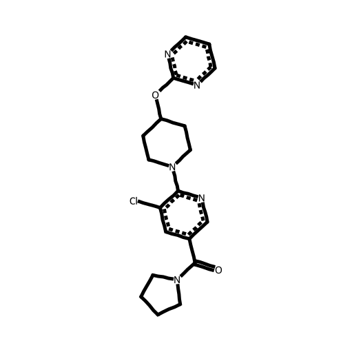 O=C(c1cnc(N2CCC(Oc3ncccn3)CC2)c(Cl)c1)N1CCCC1